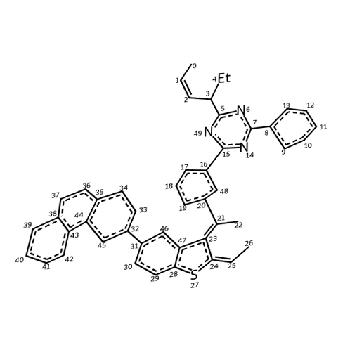 C/C=C\C(CC)c1nc(-c2ccccc2)nc(-c2cccc(/C(C)=c3/c(=C\C)sc4ccc(-c5ccc6ccc7ccccc7c6c5)cc34)c2)n1